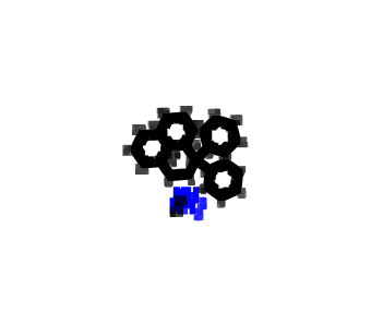 C1=CC(c2ccccc2)(c2ccccc2)c2cccc3cccc1c23.N.N